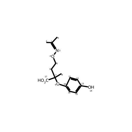 CC(C)=NOCCC(C)(Oc1ccc(O)cc1)C(=O)O